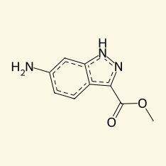 COC(=O)c1n[nH]c2cc(N)ccc12